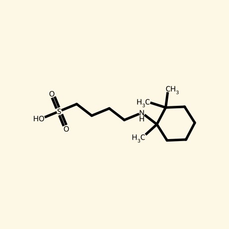 CC1(C)CCCCC1(C)NCCCCS(=O)(=O)O